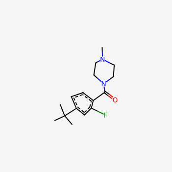 CN1CCN(C(=O)c2ccc(C(C)(C)C)cc2F)CC1